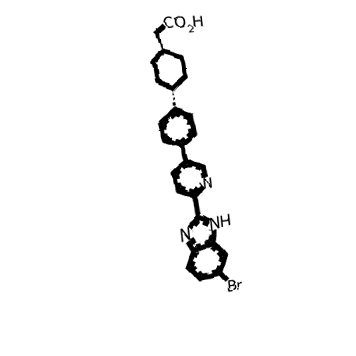 O=C(O)C[C@H]1CC[C@H](c2ccc(-c3ccc(-c4nc5ccc(Br)cc5[nH]4)nc3)cc2)CC1